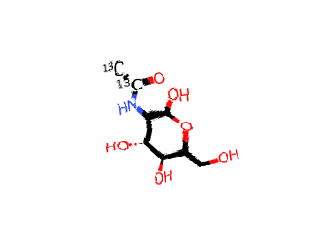 [13CH3][13C](=O)NC1C(O)OC(CO)[C@@H](O)[C@@H]1O